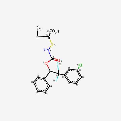 CC(C)C[C@H](SNC(=O)OC(c1ccccc1)C(F)(F)c1cccc(Cl)c1)C(=O)O